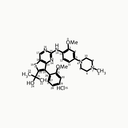 COc1cc(N2CCN(C)CC2)ccc1Nc1ncc2sc(C(C)(C)O)c(-c3ccccc3OC)c2n1.Cl